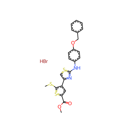 Br.COC(=O)c1cc(-c2csc(Nc3ccc(OCc4ccccc4)cc3)n2)c(SC)s1